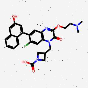 CN(C)CCOc1nc2cc(-c3cc(O)cc4ccccc34)c(F)cc2n(CC2CN(C(=O)O)C2)c1=O